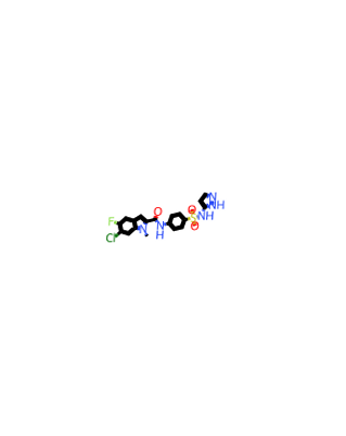 Cn1c(C(=O)Nc2ccc(S(=O)(=O)Nc3ccn[nH]3)cc2)cc2cc(F)c(Cl)cc21